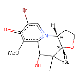 CCCCC1(C)C(O)c2c(OC)c(=O)c(Br)cn2[C@@H]2CCO[C@@H]21